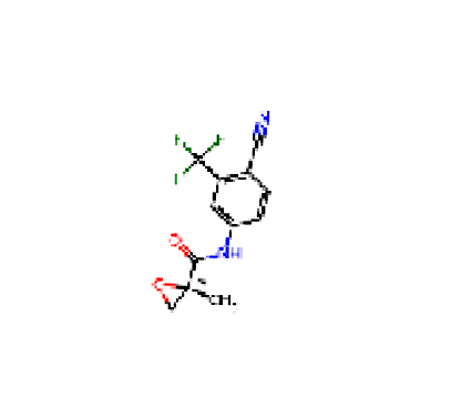 C[C@@]1(C(=O)Nc2ccc(C#N)c(C(F)(F)F)c2)CO1